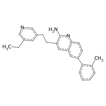 CCc1cncc(CCc2cc3cc(-c4ccccc4C)ccc3nc2N)c1